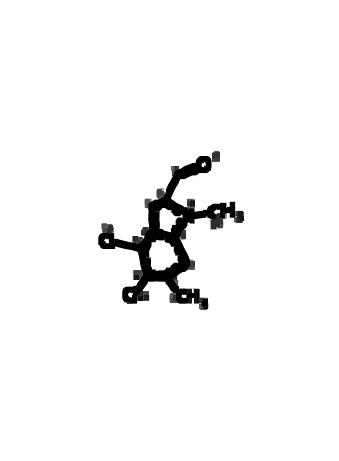 Cc1cc2c(cc(C=O)n2C)c(Cl)c1Cl